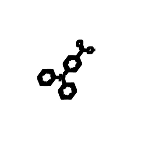 [O]C(=O)c1ccc(N(c2ccccc2)c2ccccc2)cc1